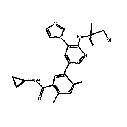 Cc1cc(F)c(C(=O)NC2CC2)cc1-c1cnc(NC(C)(C)CO)c(-n2ccnc2)c1